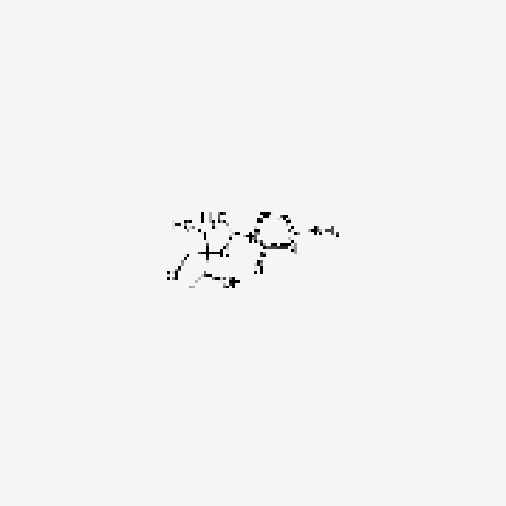 C[C@@H](O[C@@](CO)(CCl)[C@@H](O)F)n1ccc(N)nc1=O